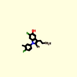 Cc1cc(-n2c(C(C)C)c(CCC(=O)O)c3cc(O)c(F)cc32)ccc1F